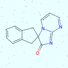 O=C1N=C2N=CC=CN2C12Cc1ccccc1C2